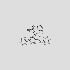 NS(=O)(=O)c1cccc(F)c1[C@H]1Cc2nc(-c3ccccc3)ccc2N(Cc2ccccc2)C1